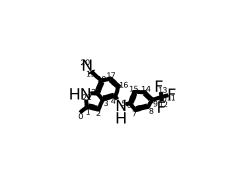 Cc1cc2c(Nc3ccc(C(F)(F)F)cc3)ccc(C#N)c2[nH]1